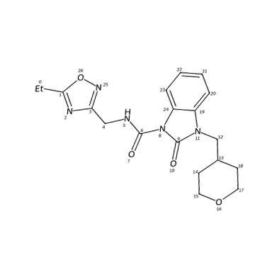 CCc1nc(CNC(=O)n2c(=O)n(CC3CCOCC3)c3ccccc32)no1